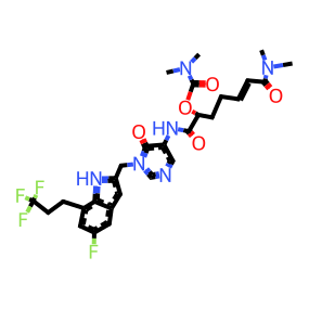 CN(C)C(=O)/C=C/CCC(OC(=O)N(C)C)C(=O)Nc1cncn(Cc2cc3cc(F)cc(CCC(F)(F)F)c3[nH]2)c1=O